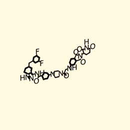 O=C1CCC(N2C(=O)c3ccc(NCC(=O)N4CCN(c5ccc(C(=O)Nc6n[nH]c7ccc(Cc8cc(F)cc(F)c8)cc67)cc5)CC4)cc3C2=O)C(=O)N1